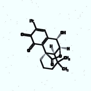 CC(C)C1=CC2=C(C(=O)C1=O)[C@@]13CCCC(C)(C)[C@@H]1[C@H](OC3=O)[C@H]2O